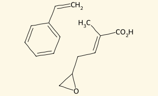 C=Cc1ccccc1.CC(=CCC1CO1)C(=O)O